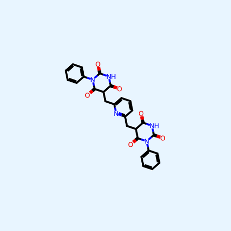 O=C1NC(=O)N(c2ccccc2)C(=O)C1Cc1cccc(CC2C(=O)NC(=O)N(c3ccccc3)C2=O)n1